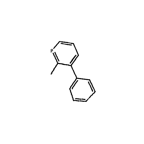 Cc1pcccc1-c1ccccc1